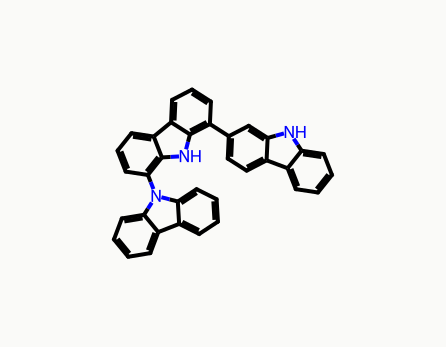 c1ccc2c(c1)[nH]c1cc(-c3cccc4c3[nH]c3c(-n5c6ccccc6c6ccccc65)cccc34)ccc12